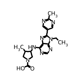 CCn1c(-c2cnc(C)nc2)nc2c(NC3CN(C(=O)O)CC3C)ncnc21